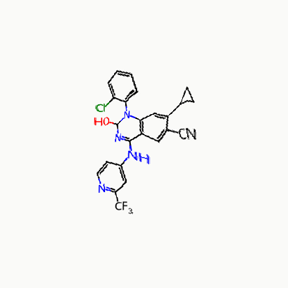 N#Cc1cc2c(cc1C1CC1)N(c1ccccc1Cl)C(O)N=C2Nc1ccnc(C(F)(F)F)c1